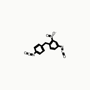 O=C=Nc1ccc(Cc2ccc(N=C=O)cc2[N+](=O)[O-])cc1